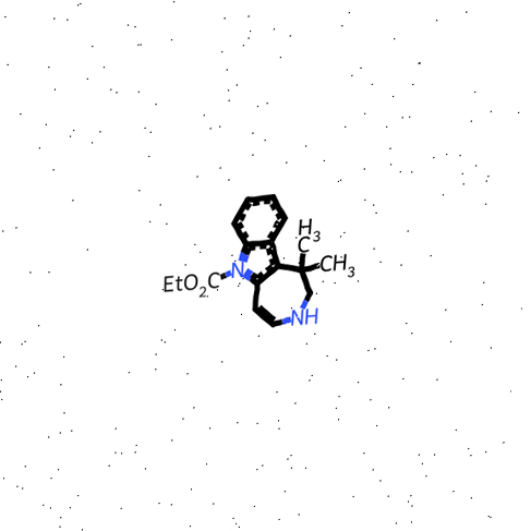 CCOC(=O)n1c2c(c3ccccc31)C(C)(C)CNC=C2